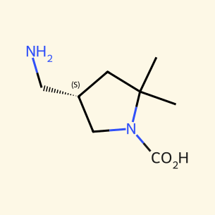 CC1(C)C[C@@H](CN)CN1C(=O)O